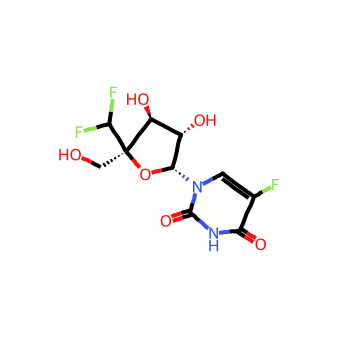 O=c1[nH]c(=O)n([C@@H]2O[C@@](CO)(C(F)F)[C@@H](O)[C@@H]2O)cc1F